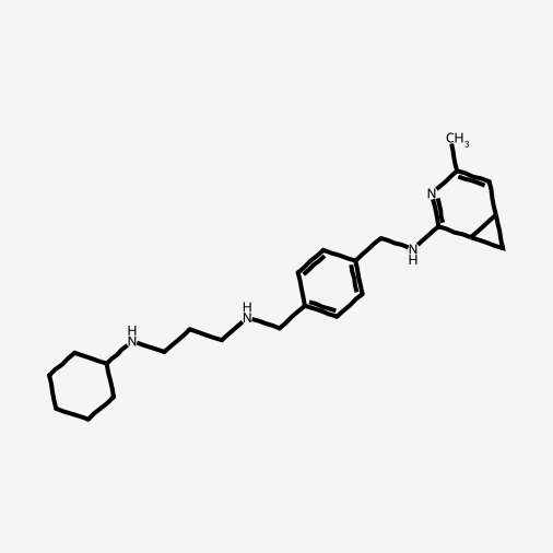 CC1=CC2CC2C(NCc2ccc(CNCCCNC3CCCCC3)cc2)=N1